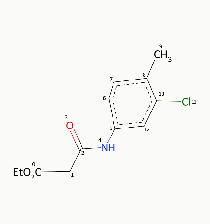 CCOC(=O)CC(=O)Nc1ccc(C)c(Cl)c1